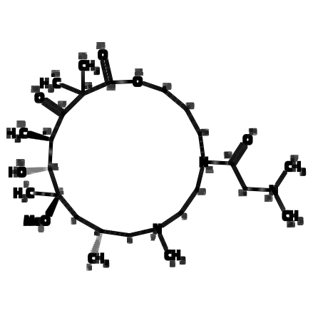 CO[C@]1(C)C[C@@H](C)CN(C)CCN(C(=O)CN(C)C)CCCOC(=O)C(C)(C)C(=O)[C@H](C)[C@H]1O